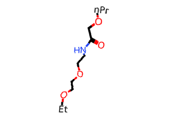 CCCOCC(=O)NCCOCCOCC